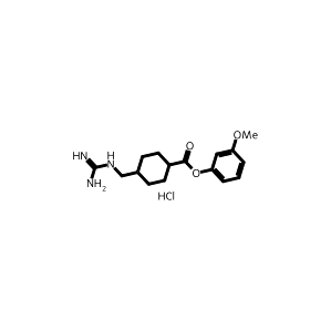 COc1cccc(OC(=O)C2CCC(CNC(=N)N)CC2)c1.Cl